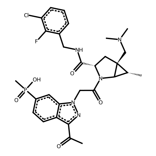 CC(=O)c1nn(CC(=O)N2C3[C@@H](C)[C@@]3(CN(C)C)C[C@H]2C(=O)NCc2cccc(Cl)c2F)c2cc(P(C)(=O)O)ccc12